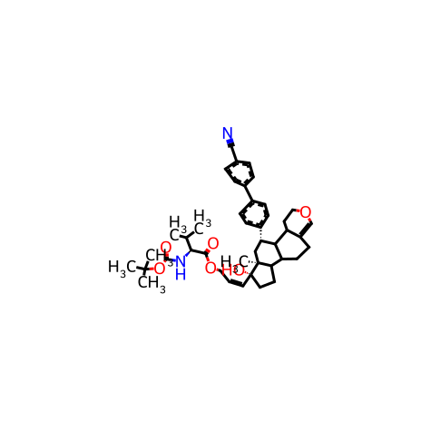 CC(C)[C@H](NC(=O)OC(C)(C)C)C(=O)OC/C=C\[C@]1(O)CCC2C3CCC4=COCCC4C3[C@@H](c3ccc(-c4ccc(C#N)cc4)cc3)C[C@@]21C